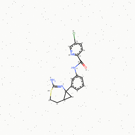 NC1=NC2(c3cccc(NC(=O)c4ccc(Cl)cn4)c3)CC2CCS1